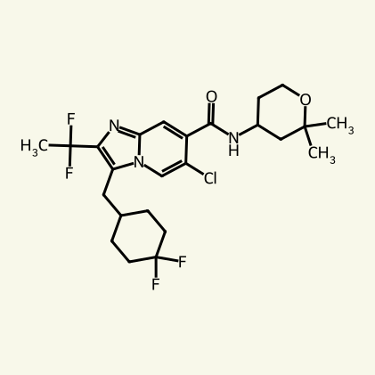 CC1(C)CC(NC(=O)c2cc3nc(C(C)(F)F)c(CC4CCC(F)(F)CC4)n3cc2Cl)CCO1